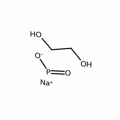 O=P[O-].OCCO.[Na+]